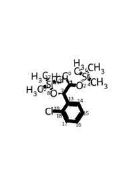 C[C@@H](O[Si](C)(C)C)[C@@H](O[Si](C)(C)C)c1ccccc1Cl